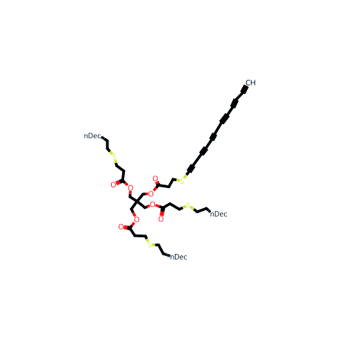 C#CC#CC#CC#CC#CC#CSCCC(=O)OCC(COC(=O)CCSCCCCCCCCCCCC)(COC(=O)CCSCCCCCCCCCCCC)COC(=O)CCSCCCCCCCCCCCC